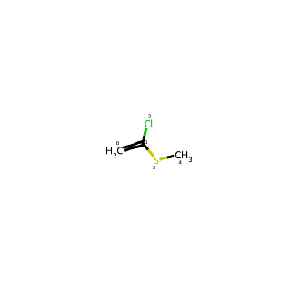 C=C(Cl)SC